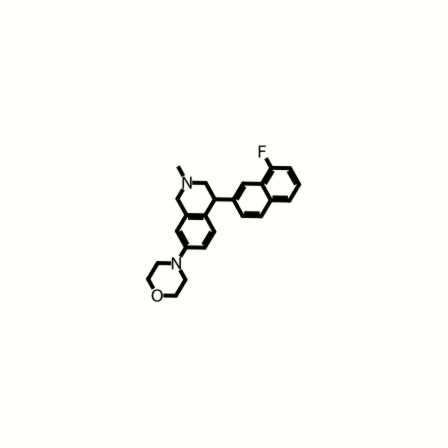 CN1Cc2cc(N3CCOCC3)ccc2C(c2ccc3cccc(F)c3c2)C1